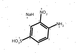 Nc1ccc(S(=O)(=O)O)cc1[N+](=O)[O-].[NaH]